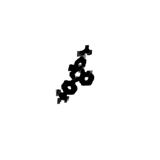 CC(=O)N[C@H]1C[C@@H]2CN(c3ccc(C(F)(F)F)cc3)c3cccnc3N2C1